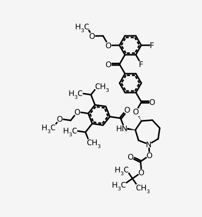 COCOc1ccc(F)c(F)c1C(=O)c1ccc(C(=O)O[C@@H]2CCCN(OC(=O)OC(C)(C)C)C[C@H]2NC(=O)c2cc(C(C)C)c(OCOC)c(C(C)C)c2)cc1